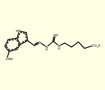 COc1ccc2[nH]cc(/C=N/NC(=N)NCCCCC(=O)O)c2c1